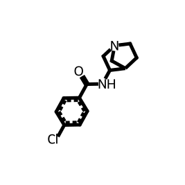 O=C(NC1CN2CCC1C2)c1ccc(Cl)cc1